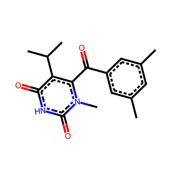 Cc1cc(C)cc(C(=O)c2c(C(C)C)c(=O)[nH]c(=O)n2C)c1